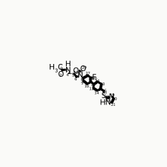 CC(=O)NC[C@H]1CN(c2ccc(-c3ccc(CSc4ncc[nH]4)cc3)c(F)c2)C(=O)O1